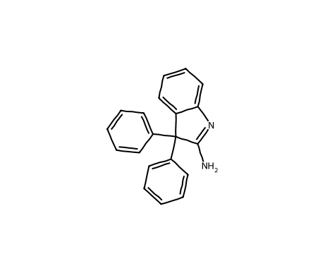 NC1=Nc2ccccc2C1(c1ccccc1)c1ccccc1